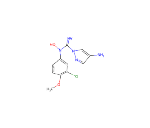 COc1ccc(N(O)C(=N)n2cc(N)cn2)cc1Cl